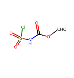 O=COC(=O)NS(=O)(=O)Cl